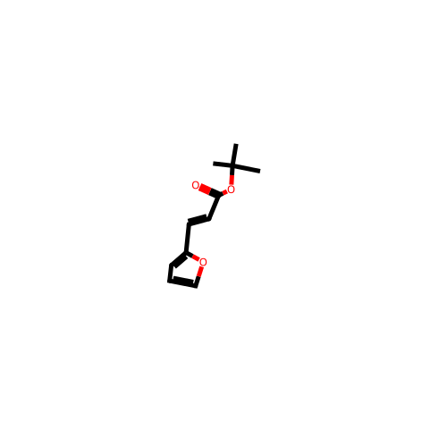 CC(C)(C)OC(=O)C=Cc1ccco1